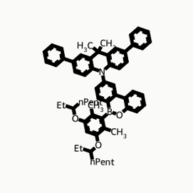 CCCCCC(CC)Oc1cc(OC(CC)CCCCC)c(C)c(B2Oc3ccccc3-c3cc(N4c5ccc(-c6ccccc6)cc5C(C)(C)c5cc(-c6ccccc6)ccc54)ccc32)c1C